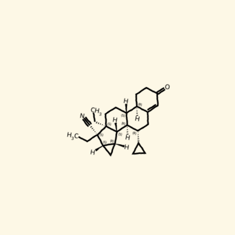 CC[C@]12CC[C@H]3[C@H]([C@@H]1[C@@H]1C[C@@H]1[C@@]2(C#N)CC)[C@@H](C1CC1)CC1=CC(=O)CC[C@@H]13